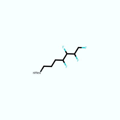 CCCCCCCCCC(F)C(F)C(F)CF